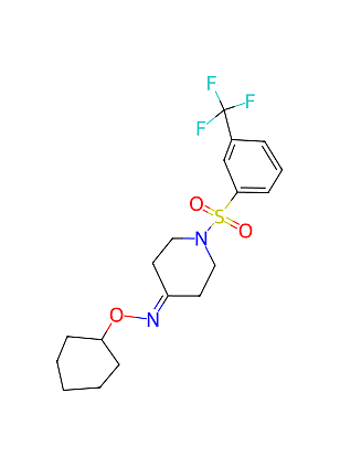 O=S(=O)(c1cccc(C(F)(F)F)c1)N1CCC(=NOC2CCCCC2)CC1